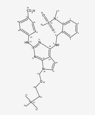 CN(c1ccccc1CNc1nc(Nc2ccc(C(=O)O)cc2)nc2c1ccn2COCC[Si](C)(C)C)S(C)(=O)=O